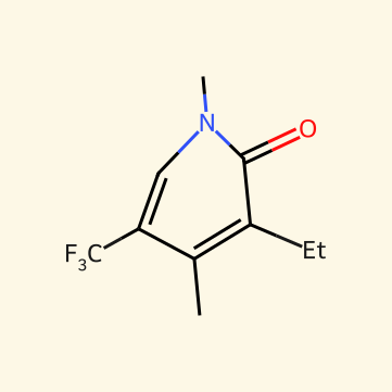 CCc1c(C)c(C(F)(F)F)cn(C)c1=O